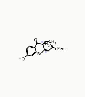 C=C(/C=C(Br)\C(=C/C)C(=O)c1ccc(O)cc1)CCCCC